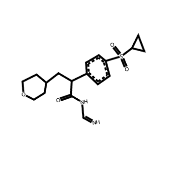 N=CNC(=O)C(CC1CCOCC1)c1ccc(S(=O)(=O)C2CC2)cc1